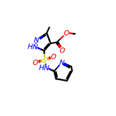 COC(=O)c1c(C)n[nH]c1S(=O)(=O)Nc1ccccn1